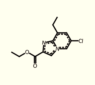 CCOC(=O)c1cn2cc(Cl)cc(CC)c2n1